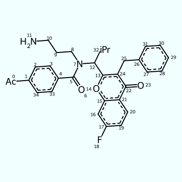 CC(=O)c1ccc(C(=O)N(CCCN)C(c2oc3cc(F)ccc3c(=O)c2Cc2ccccc2)C(C)C)cc1